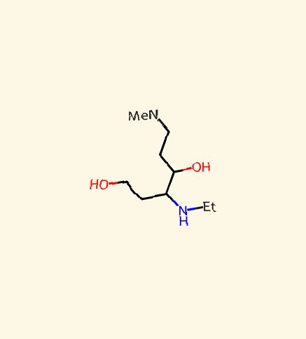 CCNC(CCO)C(O)CCNC